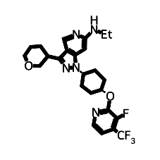 CCNc1cc2c(cn1)c(C1CCCOC1)nn2[C@H]1CC[C@@H](Oc2nccc(C(F)(F)F)c2F)CC1